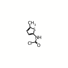 Cc1ccc(NC(=O)Cl)s1